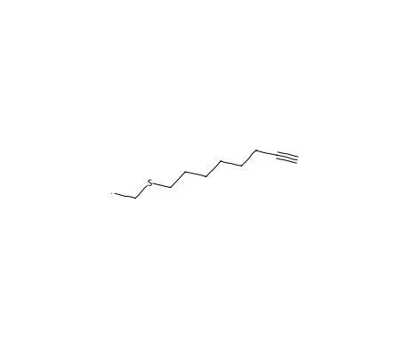 C#CCCCCCCSC[CH2]